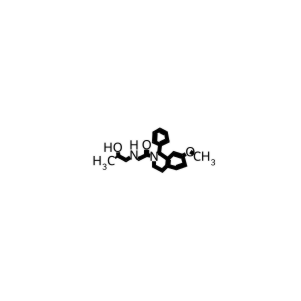 COc1ccc2c(c1)C(c1ccccc1)N(C(=O)CNC[C@@H](C)O)CC2